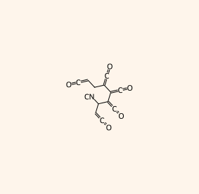 [C-]#[N+]C(C=C=O)C(=C=O)C(=C=O)C(=C=O)CC=C=O